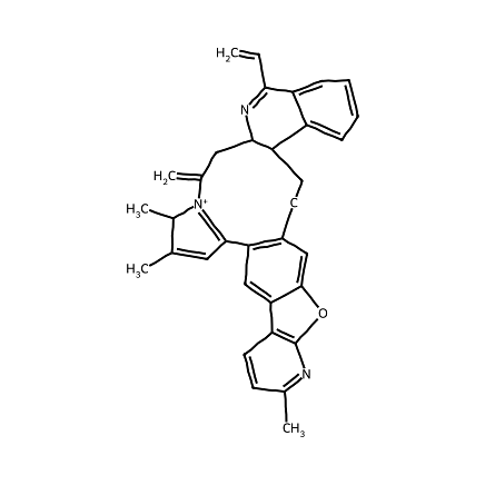 C=CC1=NC2CC(=C)[N+]3=C(C=C(C)C3C)c3cc4c(cc3CCC2c2ccccc21)oc1nc(C)ccc14